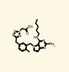 CCCCCNc1nc(N)nc2ccn(Cc3cc(Cc4nnn(CC(=O)O)n4)ccc3C)c12